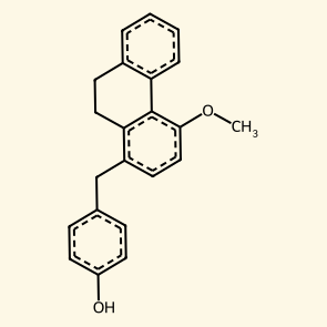 COc1ccc(Cc2ccc(O)cc2)c2c1-c1ccccc1CC2